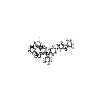 C[C@@H]1C[C@H]2CCC[C@@H](C1)C21c2ccccc2S(=O)(=O)c2cc(N(c3ccccc3)c3ccc(-c4ccc5c(c4)sc4ccccc45)cc3)ccc21